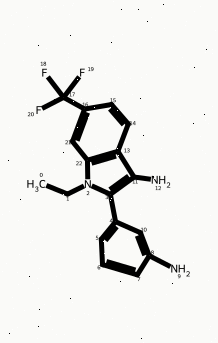 CCn1c(-c2cccc(N)c2)c(N)c2ccc(C(F)(F)F)cc21